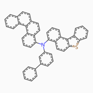 c1ccc(-c2cccc(N(c3cccc4c3ccc3ccc5ccccc5c34)c3cccc4c3ccc3sc5ccccc5c34)c2)cc1